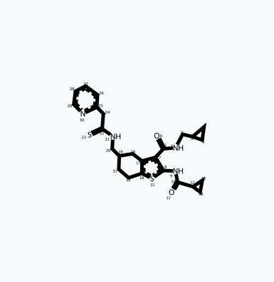 O=C(NCC1CC1)c1c(NC(=O)C2CC2)sc2c1CC(CNC(=S)Cc1ccccn1)CC2